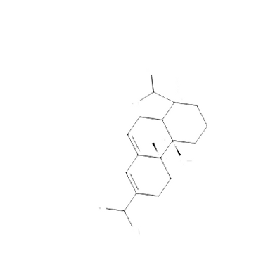 CC(C)C1=CC2=CCC3[C@@](C)(C(O)O)CCC[C@]3(C)[C@@H]2CC1